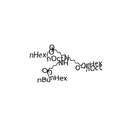 CCCCCCCCC(CCCCCC)COC(=O)CCCCCN(CCCCCC(=O)OCC(CCCCCC)CCCCCCCC)CCNCCCCCC(=O)OCC(CCCC)CCCCCC